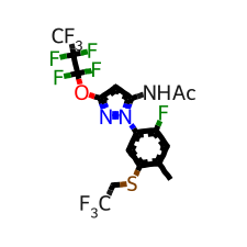 CC(=O)Nc1cc(OC(F)(F)C(F)(F)C(F)(F)F)nn1-c1cc(SCC(F)(F)F)c(C)cc1F